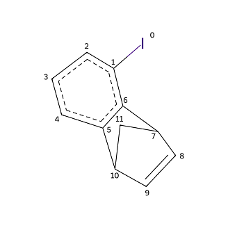 Ic1cccc2c1C1C=CC2C1